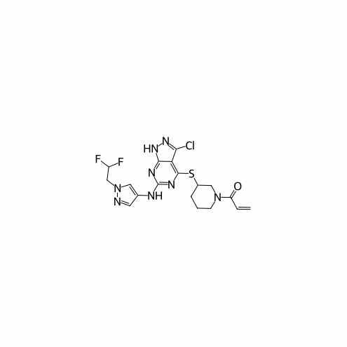 C=CC(=O)N1CCCC(Sc2nc(Nc3cnn(CC(F)F)c3)nc3[nH]nc(Cl)c23)C1